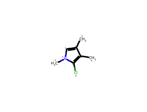 Cc1cn(C)c(Cl)c1C